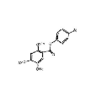 COc1cc(OC)c(C(=O)Oc2ccc(C(C)=O)cc2)cc1OC